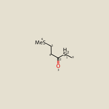 C[SiH2]C(=O)CCSC